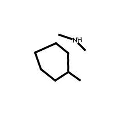 CC1CCCCC1.CNC